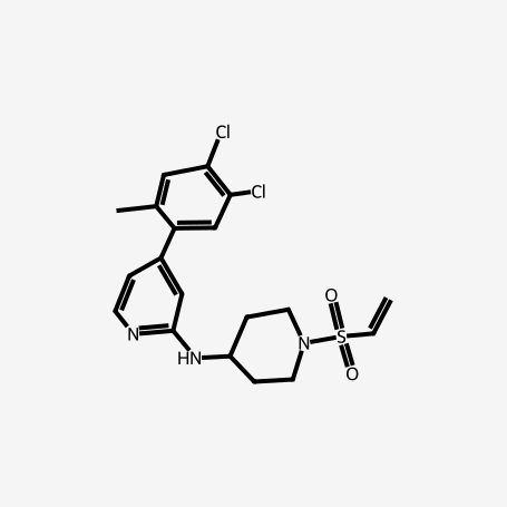 C=CS(=O)(=O)N1CCC(Nc2cc(-c3cc(Cl)c(Cl)cc3C)ccn2)CC1